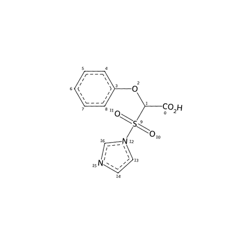 O=C(O)C(Oc1ccccc1)S(=O)(=O)n1ccnc1